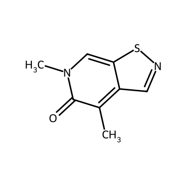 Cc1c(=O)n(C)cc2sncc12